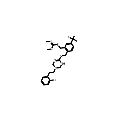 C/N=C(\NC)SCc1cc(C(F)(F)F)ccc1CSC1=NCN(CCc2ccccc2Cl)CN1